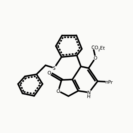 CCCC1=C(OC(=O)OCC)C(c2ccccc2SCc2ccccc2)C2=C(COC2=O)N1